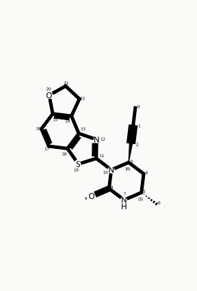 CC#C[C@H]1C[C@H](C)NC(=O)N1c1nc2c3c(ccc2s1)OCC3